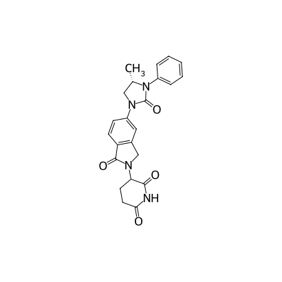 C[C@H]1CN(c2ccc3c(c2)CN(C2CCC(=O)NC2=O)C3=O)C(=O)N1c1ccccc1